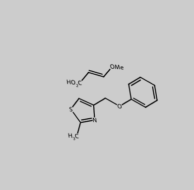 COC=CC(=O)O.Cc1nc(COc2ccccc2)cs1